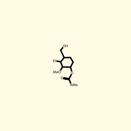 CCC1C(CO)CCC(OC(=O)NC)C1OC